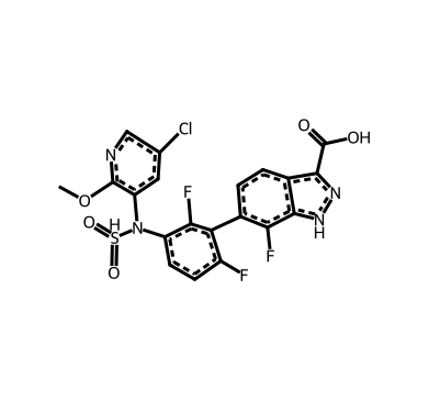 COc1ncc(Cl)cc1N(c1ccc(F)c(-c2ccc3c(C(=O)O)n[nH]c3c2F)c1F)[SH](=O)=O